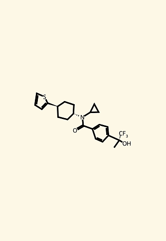 C[C@](O)(c1ccc(C(=O)N(C2CC2)[C@H]2CC[C@H](c3cccs3)CC2)cc1)C(F)(F)F